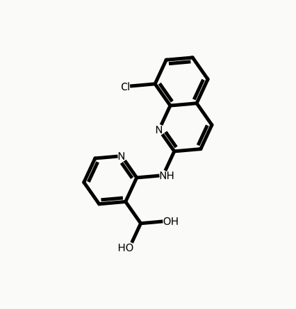 OC(O)c1cccnc1Nc1ccc2cccc(Cl)c2n1